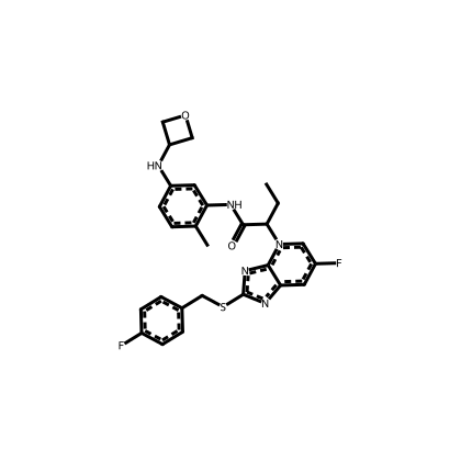 CCC(C(=O)Nc1cc(NC2COC2)ccc1C)n1cc(F)cc2nc(SCc3ccc(F)cc3)nc1-2